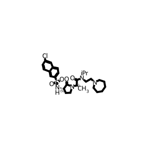 CC(C)N(CCN1CCCCCC1)C(=O)[C@H](C)N1CC[C@H](NS(=O)(=O)c2ccc3cc(Cl)ccc3c2)C1=O